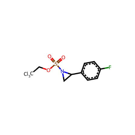 O=S(=O)(OCC(Cl)(Cl)Cl)N1CC1c1ccc(F)cc1